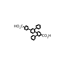 O=C(O)c1ccc(-c2ccc(-c3ccc(C(=O)O)cc3-c3ccccc3)c(-c3ccccc3)c2)cc1